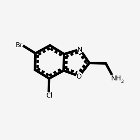 NCc1nc2cc(Br)cc(Cl)c2o1